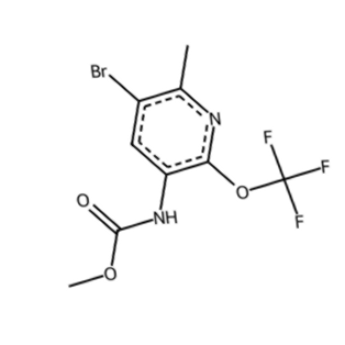 COC(=O)Nc1cc(Br)c(C)nc1OC(F)(F)F